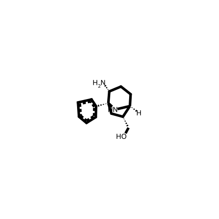 N[C@@H]1CC[C@@H]2N[C@@]1(c1ccccc1)C[C@H]2CO